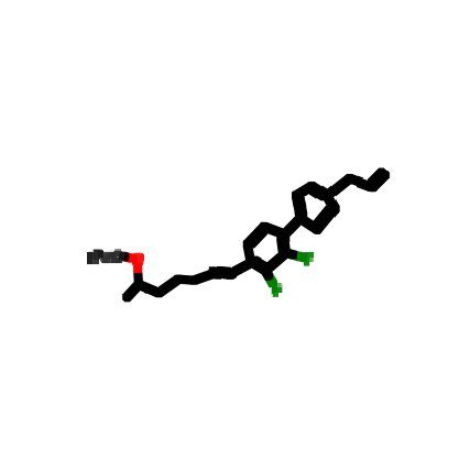 C=CCc1ccc(-c2ccc(C=CCCCC(C)OCCCCC)c(F)c2F)cc1